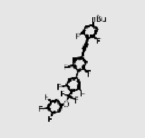 CCCCc1cc(F)c(C#Cc2cc(F)c(-c3cc(F)c(C(F)(F)Oc4cc(F)c(F)c(F)c4)c(F)c3)c(F)c2)c(F)c1